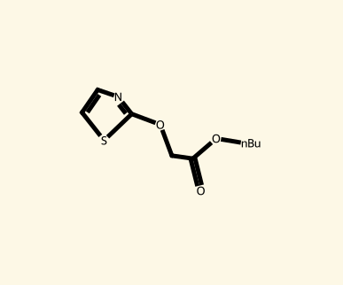 CCCCOC(=O)COc1nccs1